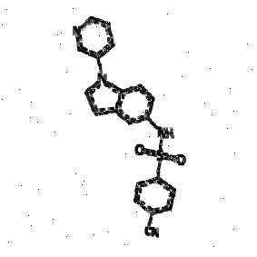 N#Cc1ccc(S(=O)(=O)Nc2ccc3c(ccn3-c3cccnc3)c2)cc1